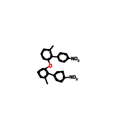 Cc1cccc(Oc2cccc(C)c2-c2ccc([N+](=O)[O-])cc2)c1-c1ccc([N+](=O)[O-])cc1